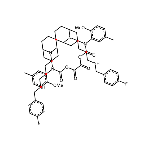 COc1ccc(C)cc1N(C(=O)OC(=O)C(=O)OC(=O)N(c1cc(C)ccc1OC)C1CC2CCCC(C1)N2CCCCNCc1ccc(F)cc1)C1CC2CCCC(C1)N2CCCCNCc1ccc(F)cc1